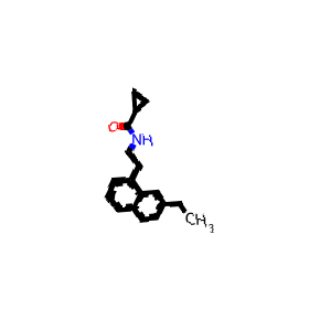 CCc1ccc2cccc(CCNC(=O)C3CC3)c2c1